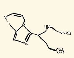 O=CNC(CO)c1ncc2sccn12